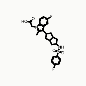 Cc1c(C2CC3CC(NS(=O)(=O)c4ccc(F)cc4)CC3C2)c2cc(F)ccc2n1CC(=O)O